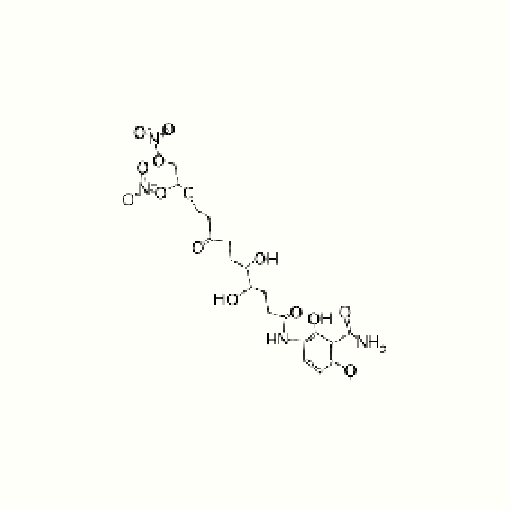 COc1ccc(NC(=O)CCC(O)C(O)CCC(=O)CCCC(CO[N+](=O)[O-])O[N+](=O)[O-])c(O)c1C(N)=O